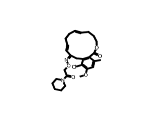 COc1cc(C)c2c(c1Cl)CC(=N\OCC(=O)N1CCCCC1)/C=C/CC/C=C/CCCOC2=O